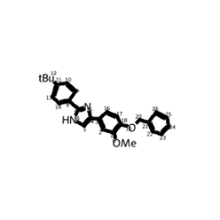 COc1cc(-c2c[nH]c(-c3ccc(C(C)(C)C)cc3)n2)ccc1OCc1ccccc1